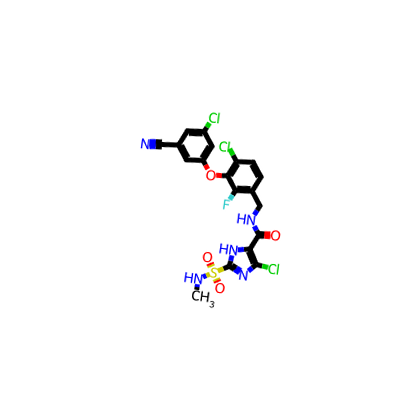 CNS(=O)(=O)c1nc(Cl)c(C(=O)NCc2ccc(Cl)c(Oc3cc(Cl)cc(C#N)c3)c2F)[nH]1